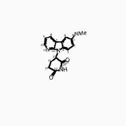 CNc1ccc2c(c1)c1cccnc1n2C1CCC(=O)NC1=O